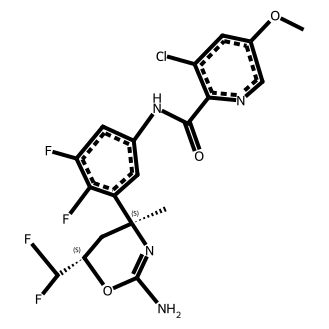 COc1cnc(C(=O)Nc2cc(F)c(F)c([C@]3(C)C[C@@H](C(F)F)OC(N)=N3)c2)c(Cl)c1